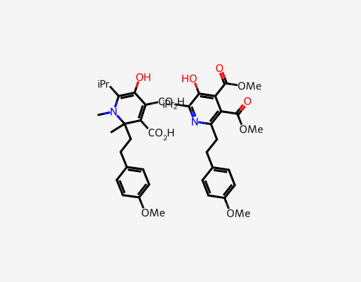 COC(=O)c1c(CCc2ccc(OC)cc2)nc(C(C)C)c(O)c1C(=O)OC.COc1ccc(CCC2(C)C(C(=O)O)=C(C(=O)O)C(O)=C(C(C)C)N2C)cc1